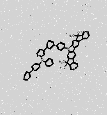 CC1(C)c2ccccc2-c2cc3c4cc5c(cc4n(-c4ccc(-c6cccc(-c7cccc(N(c8ccccc8)c8ccc(-c9ccccc9)cc8)c7)c6)cc4)c3cc21)C(C)(C)c1ccccc1-5